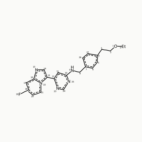 CCOCCc1ccc(CNc2cc(-c3cnc4cc(F)ccn34)ncn2)cc1